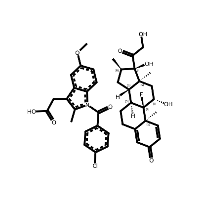 COc1ccc2c(c1)c(CC(=O)O)c(C)n2C(=O)c1ccc(Cl)cc1.C[C@@H]1C[C@H]2[C@@H]3CCC4=CC(=O)C=C[C@]4(C)[C@@]3(F)[C@@H](O)C[C@]2(C)[C@@]1(O)C(=O)CO